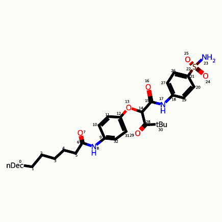 CCCCCCCCCCCCCCCC(=O)Nc1ccc(OC(C(=O)Nc2ccc(S(N)(=O)=O)cc2)C(=O)C(C)(C)C)cc1